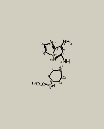 Nc1cc(N[C@H]2CC[C@H](NC(=O)O)CC2)nn2ccnc12